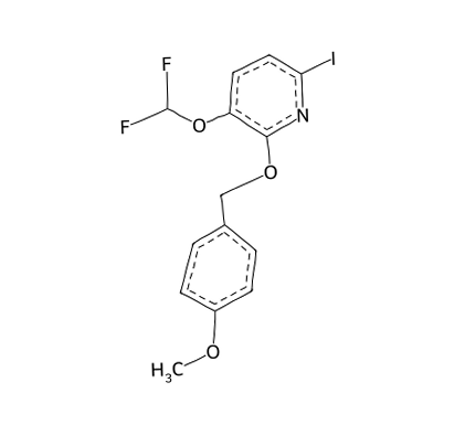 COc1ccc(COc2nc(I)ccc2OC(F)F)cc1